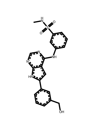 CNS(=O)(=O)c1cccc(Nc2ncnc3[nH]c(-c4cccc(CO)c4)cc23)c1